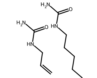 C=CCNC(N)=O.CCCCCNC(N)=O